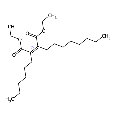 CCCCCCCC/C(C(=O)OCC)=C(\CCCCCC)C(=O)OCC